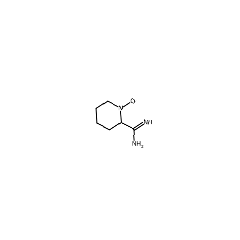 N=C(N)C1CCCCN1[O]